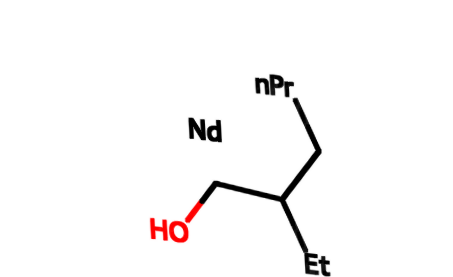 CCCCC(CC)CO.[Nd]